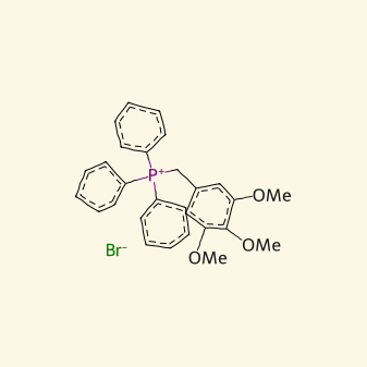 COc1cc(C[P+](c2ccccc2)(c2ccccc2)c2ccccc2)cc(OC)c1OC.[Br-]